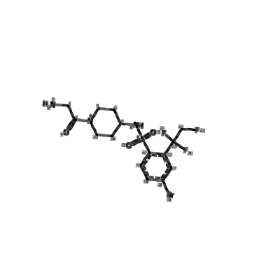 NCC(=O)N1CCC(NS(=O)(=O)c2ccc(Br)cc2C(F)(F)CF)CC1